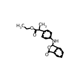 CCOC(=O)C(C)c1ccc(NC2OC(=O)c3ccccc32)cc1